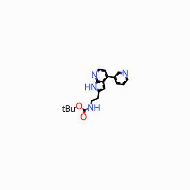 CC(C)(C)OC(=O)NCCc1cc2c(-c3cccnc3)ccnc2[nH]1